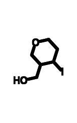 OCC1COCCC1I